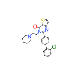 O=c1c2sccc2nc(-c2ccc(-c3ccccc3Cl)cc2)n1CCN1CCCCC1